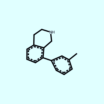 Cc1cccc(-c2cccc3c2CNCC3)c1